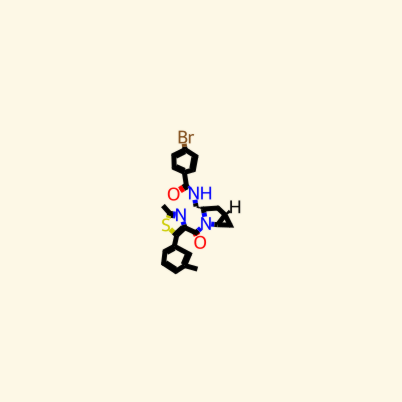 Cc1cccc(-c2sc(C)nc2C(=O)N2C3C[C@H]3C[C@H]2CNC(=O)c2ccc(Br)cc2)c1